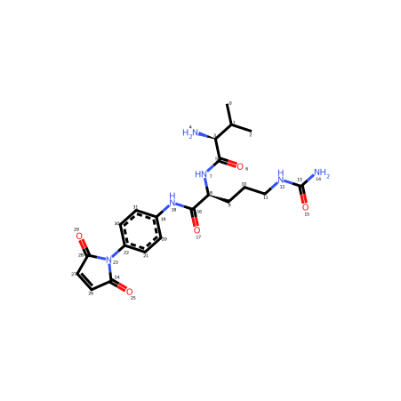 CC(C)[C@H](N)C(=O)N[C@@H](CCCNC(N)=O)C(=O)Nc1ccc(N2C(=O)C=CC2=O)cc1